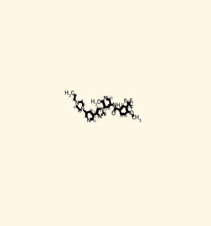 CCCN1CCN(c2cncc(-c3cn(-c4cc(NC(=O)c5ccc(OC)c(C(F)(F)F)c5)cnc4C)nn3)c2)CC1